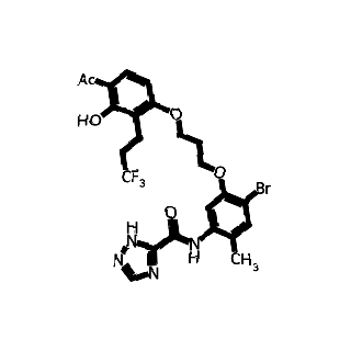 CC(=O)c1ccc(OCCCOc2cc(NC(=O)c3ncn[nH]3)c(C)cc2Br)c(CCC(F)(F)F)c1O